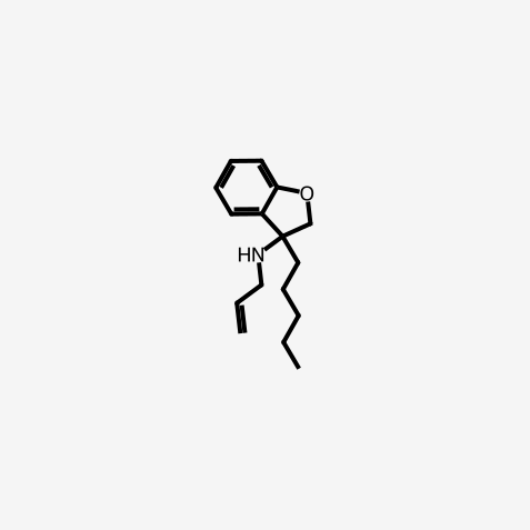 C=CCNC1(CCCCC)COc2ccccc21